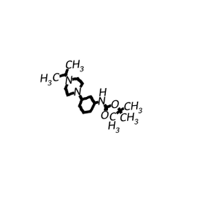 CC(C)N1CCN(C2CCCC(NC(=O)OC(C)(C)C)C2)CC1